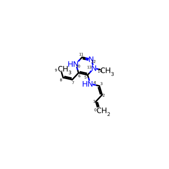 C=C/C=C\NC1=C(/C=C\C)NC=NN1C